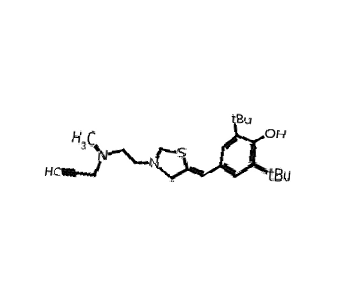 C#CCN(C)CCN1[C]C(=Cc2cc(C(C)(C)C)c(O)c(C(C)(C)C)c2)SC1